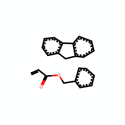 C=CC(=O)OCc1ccccc1.c1ccc2c(c1)Cc1ccccc1-2